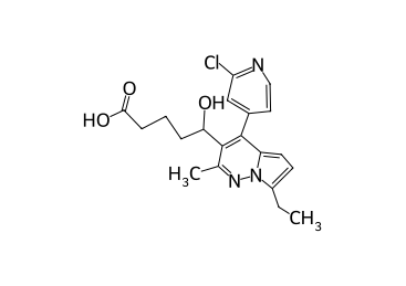 CCc1ccc2c(-c3ccnc(Cl)c3)c(C(O)CCCC(=O)O)c(C)nn12